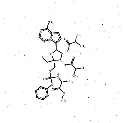 COC(=O)[C@H](C)NP(=O)(OC[C@@]1(CF)O[C@@H](c2ccc3c(N)ncnn23)[C@H](OC(=O)C(C)C)[C@@H]1OC(=O)C(C)C)Oc1ccccc1